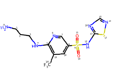 NCCCNc1ncc(S(=O)(=O)Nc2ncns2)cc1C(F)(F)F